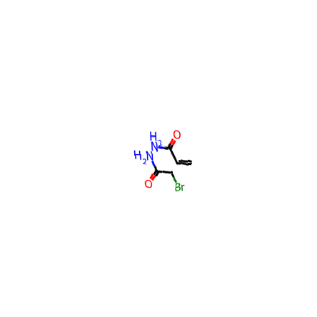 C=CC(N)=O.NC(=O)CBr